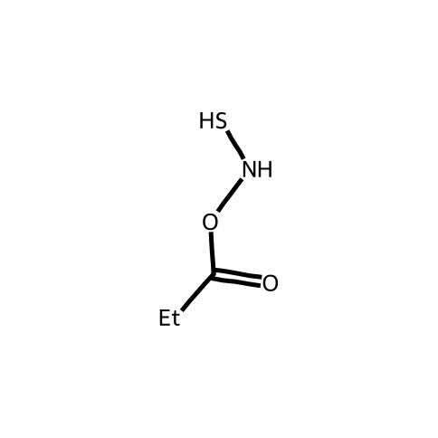 CCC(=O)ONS